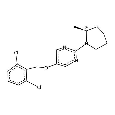 C[C@H]1CCCCN1c1ncc(OCc2c(Cl)cccc2Cl)cn1